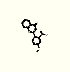 COc1ccc(-c2cc(=O)c3ccccc3o2)c([N+](=O)[O-])c1